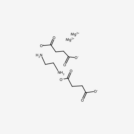 NCCN.O=C([O-])CCC(=O)[O-].O=C([O-])CCC(=O)[O-].[Mg+2].[Mg+2]